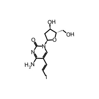 Nc1nc(=O)n([C@H]2C[C@@H](O)[C@H](CO)O2)cc1C=CI